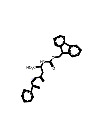 C=C(/C=C\C(=C)c1ccccc1)CC(NC(=O)OCC1c2ccccc2-c2ccccc21)C(=O)O